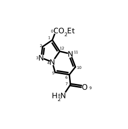 CCOC(=O)c1cnn2cc(C(N)=O)cnc12